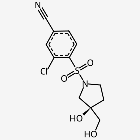 N#Cc1ccc(S(=O)(=O)N2CC[C@](O)(CO)C2)c(Cl)c1